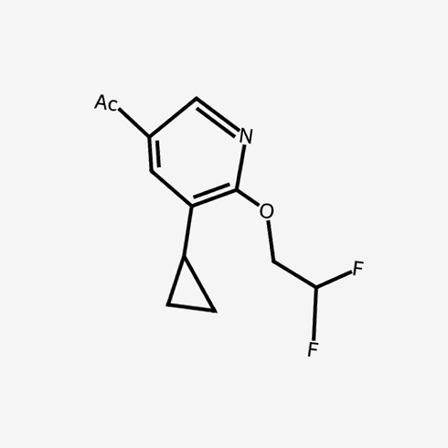 CC(=O)c1cnc(OCC(F)F)c(C2CC2)c1